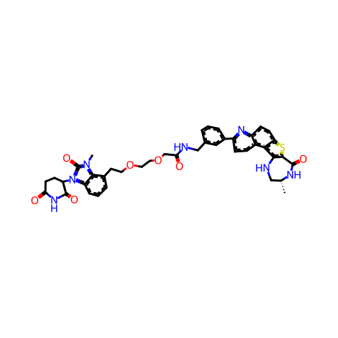 C[C@@H]1CNc2c(sc3ccc4nc(-c5cccc(CNC(=O)COCCOCCc6cccc7c6n(C)c(=O)n7C6CCC(=O)NC6=O)c5)ccc4c23)C(=O)N1